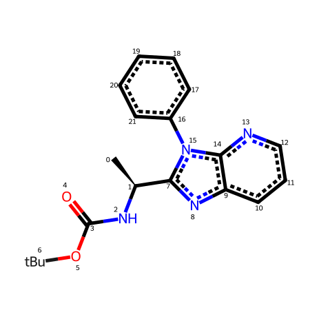 C[C@H](NC(=O)OC(C)(C)C)c1nc2cccnc2n1-c1ccccc1